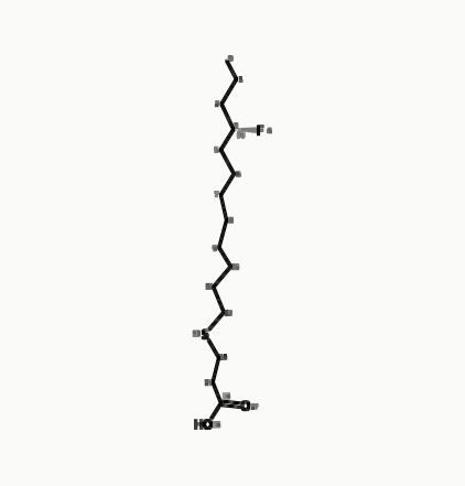 CCC[C@H](F)CCCCCCCCSCCC(=O)O